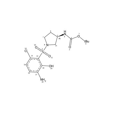 CC(C)(C)OC(=O)N[C@@H]1CCN(S(=O)(=O)c2c(Cl)ccc(N)c2O)C1